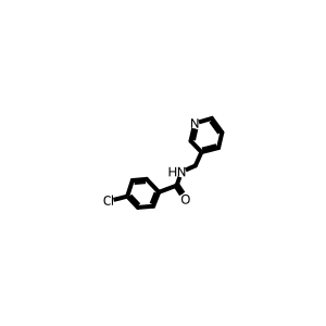 O=C(NCc1cccnc1)c1ccc(Cl)cc1